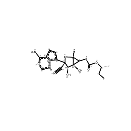 CC[C@@H](C)OC(=O)OC1[C@H]2O[C@@](C#N)(c3ccc4c(N)ncnn34)[C@H](O)[C@@]12O